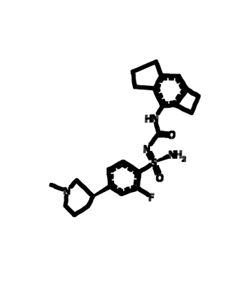 CN1CCC[C@H](c2ccc([S@@](N)(=O)=NC(=O)Nc3c4c(cc5c3CC5)CCC4)c(F)c2)C1